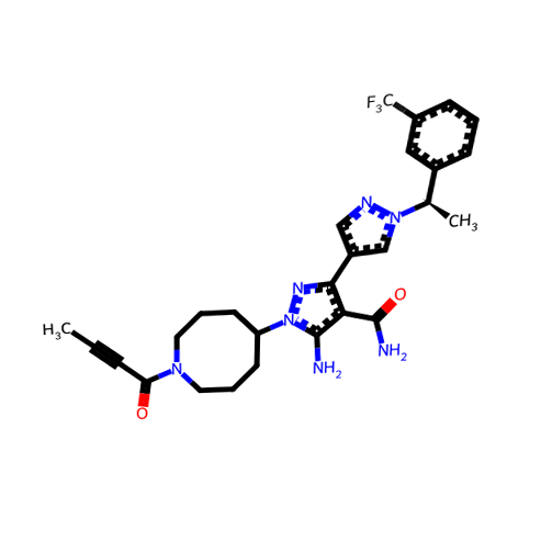 CC#CC(=O)N1CCCC(n2nc(-c3cnn([C@H](C)c4cccc(C(F)(F)F)c4)c3)c(C(N)=O)c2N)CCC1